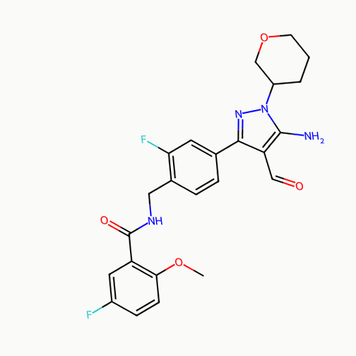 COc1ccc(F)cc1C(=O)NCc1ccc(-c2nn(C3CCCOC3)c(N)c2C=O)cc1F